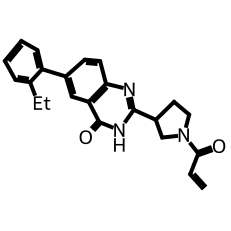 C=CC(=O)N1CCC(c2nc3ccc(-c4ccccc4CC)cc3c(=O)[nH]2)C1